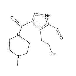 CN1CCN(C(=O)c2c[nH]c(C=O)c2CCO)CC1